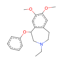 CCN1CCc2cc(OC)c(OC)cc2C(Oc2ccccc2)C1